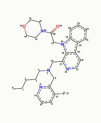 CCCCCN(Cc1ncccc1F)Cc1nccc2c3ccccc3n(CC(=O)N3CCOCC3)c12